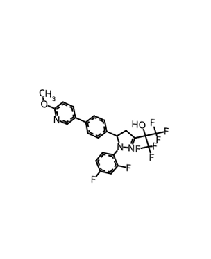 COc1ccc(-c2ccc(C3CC(C(O)(C(F)(F)F)C(F)(F)F)=NN3c3ccc(F)cc3F)cc2)cn1